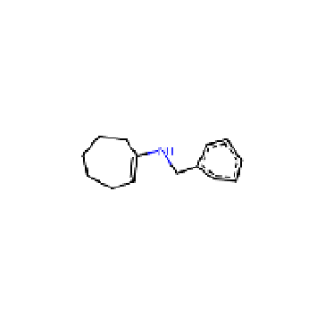 C1=C(NCc2ccccc2)CCCCC1